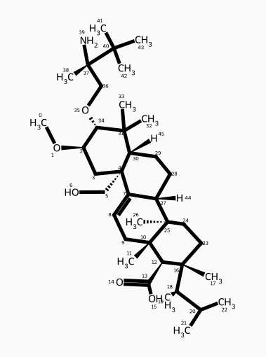 CO[C@@H]1C[C@]2(CO)C3=CC[C@@]4(C)[C@H](C(=O)O)[C@@](C)([C@H](C)C(C)C)CC[C@]4(C)[C@H]3CC[C@H]2C(C)(C)[C@H]1OC[C@](C)(N)C(C)(C)C